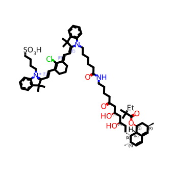 CCC(C)(C)C(=O)O[C@H]1C[C@@H](C)C=C2C=C[C@H](C)[C@H](CC[C@@H](O)C[C@@H](O)CC(=O)CCCCNC(=O)CCCCCN3/C(=C/C=C4\CCCC(/C=C/C5=[N+](CCCCS(=O)(=O)O)c6ccccc6C5(C)C)=C4Cl)C(C)(C)c4ccccc43)[C@H]21